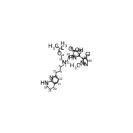 CC(C)OCCN(CCCCc1ccc2c(n1)NCCC2)CC[C@H](NC(=O)c1c(Cl)cnn1C)C(=O)O